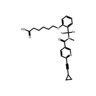 [2H]C([2H])(c1ccccc1OCCCCCC(=O)O)N(C)C(=O)c1ccc(C#CC2CC2)nc1